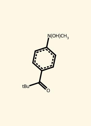 CN(O)c1ccc(C(=O)C(C)(C)C)cc1